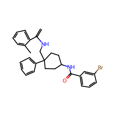 C=C(NCC1(c2ccccc2)CCC(NC(=O)c2cccc(Br)c2)CC1)c1ccccc1C